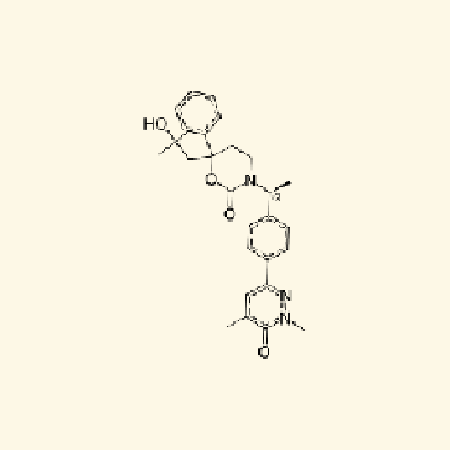 Cc1cc(-c2ccc([C@H](C)N3CCC(CC(C)(C)O)(c4ccccc4)OC3=O)cc2)nn(C)c1=O